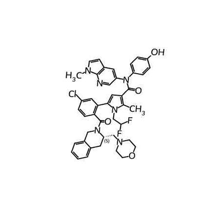 Cc1c(C(=O)N(c2ccc(O)cc2)c2cnc3c(ccn3C)c2)cc(-c2cc(Cl)ccc2C(=O)N2Cc3ccccc3C[C@H]2CN2CCOCC2)n1CC(F)F